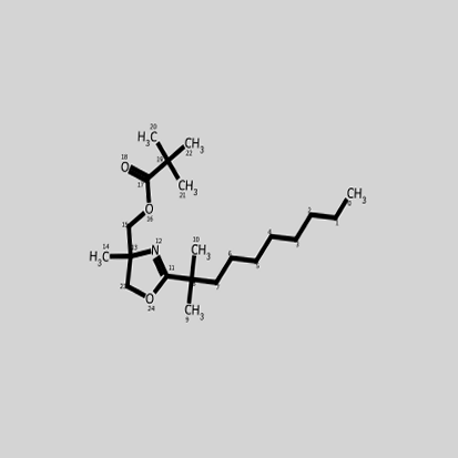 CCCCCCCCC(C)(C)C1=NC(C)(COC(=O)C(C)(C)C)CO1